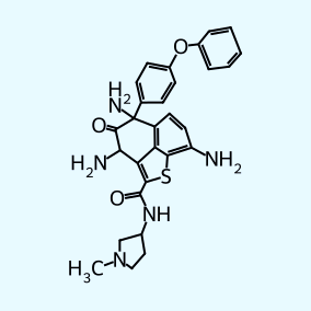 CN1CCC(NC(=O)c2sc3c(N)ccc4c3c2C(N)C(=O)C4(N)c2ccc(Oc3ccccc3)cc2)C1